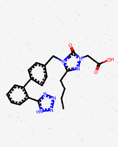 CCCCc1nn(CC(=O)O)c(=O)n1Cc1ccc(-c2ccccc2-c2nnn[nH]2)cc1